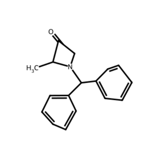 CC1C(=O)CN1C(c1ccccc1)c1ccccc1